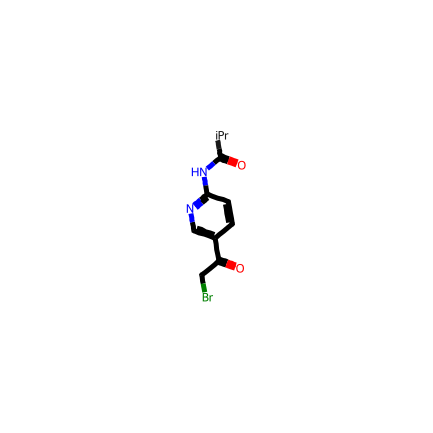 CC(C)C(=O)Nc1ccc(C(=O)CBr)cn1